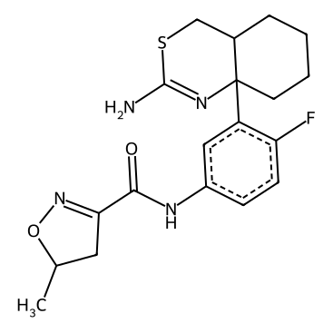 CC1CC(C(=O)Nc2ccc(F)c(C34CCCCC3CSC(N)=N4)c2)=NO1